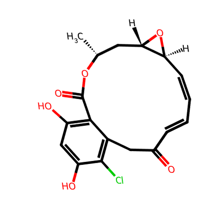 C[C@@H]1C[C@@H]2O[C@H]2/C=C\C=C\C(=O)Cc2c(Cl)c(O)cc(O)c2C(=O)O1